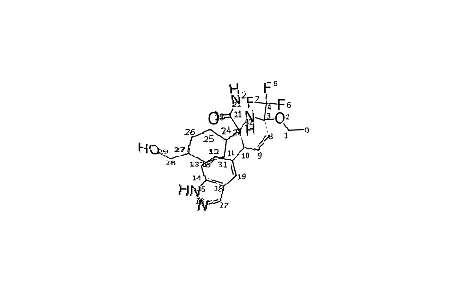 CCOC1(C(F)(F)F)C=CC(c2ccc3[nH]ncc3c2)C(C(N)=O)(C2CCC(CO)CC2)N1